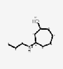 CCCNC1CCCCC(O)C1